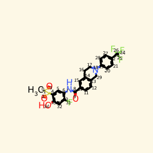 CS(=O)(=O)c1cc(NC(=O)c2ccc3c(c2)CCN(c2ccc(C(F)(F)F)cc2)C3)c(F)cc1O